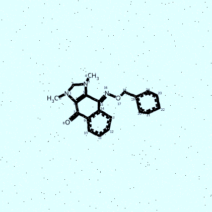 CN1CN(C)C2=C1C(=O)c1ccccc1C2=NOCc1ccccc1